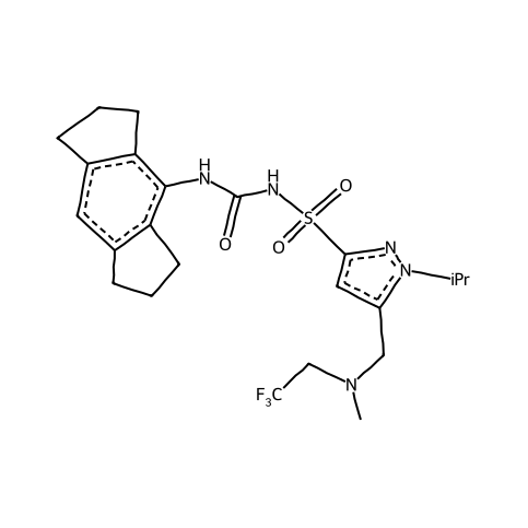 CC(C)n1nc(S(=O)(=O)NC(=O)Nc2c3c(cc4c2CCC4)CCC3)cc1CN(C)CC(F)(F)F